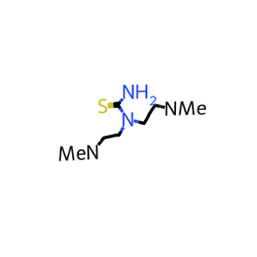 CNCCN(CCNC)C(N)=S